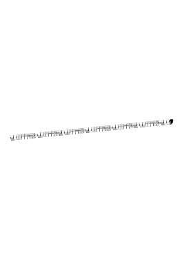 B#S(C)=BB=BB=BB=BB=BB=BB=BB=BB=BB=BB=BB=BB=BB=BB=BB=BB=BB=BB=BB=BB=BB=BB=BB=BB=BB=BB=BB=BB=BB=BB